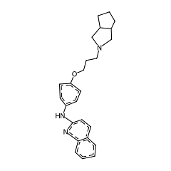 c1ccc2nc(Nc3ccc(OCCCN4CC5CCCC5C4)cc3)ccc2c1